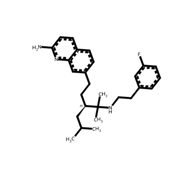 CC(C)C[C@@H](CCc1ccc2ccc(N)nc2c1)C(C)(C)NCCc1cccc(F)c1